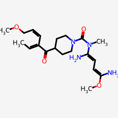 C/C=C(\C=C/COC)C(=O)C1CCN(C(=O)N(C)/C(N)=C/C=C(\N)OC)CC1